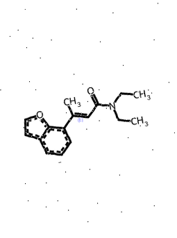 CCN(CC)C(=O)/C=C(\C)c1cccc2ccoc12